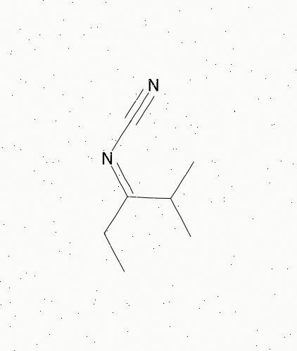 CC/C(=N/C#N)C(C)C